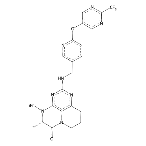 CC(C)N1c2nc(NCc3ccc(Oc4cnc(C(F)(F)F)nc4)nc3)nc3c2N(CCC3)C(=O)[C@@H]1C